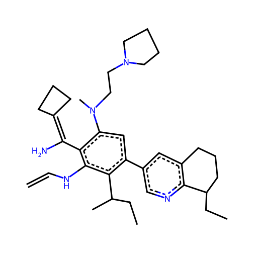 C=CNc1c(C(N)=C2CCC2)c(N(C)CCN2CCCC2)cc(-c2cnc3c(c2)CCCC3CC)c1C(C)CC